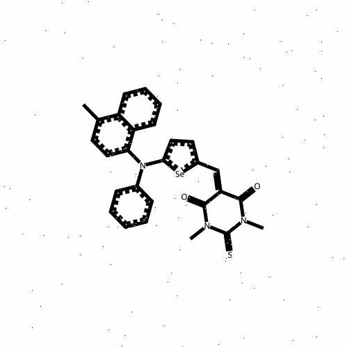 Cc1ccc(N(c2ccccc2)c2ccc(C=C3C(=O)N(C)C(=S)N(C)C3=O)[se]2)c2ccccc12